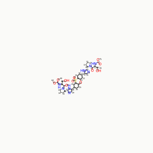 COC(=O)N[C@H](C(=O)N1CCC[C@H]1c1ncc(-c2ccc3c(c2)Oc2ccc(-c4cnc([C@@H]5CCCN5C(=O)[C@@H](NC(=O)OC)[C@H](C)O)[nH]4)cc2S3(=O)=O)[nH]1)[C@H](C)O